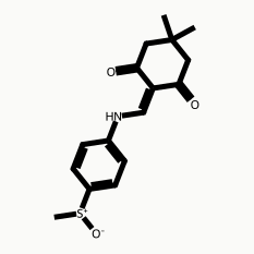 C[S+]([O-])c1ccc(NC=C2C(=O)CC(C)(C)CC2=O)cc1